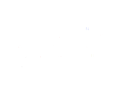 CCC(C)(C)C(=O)OCC(=O)OCCN(C)C(=O)OS